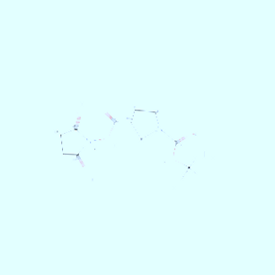 CC(C)(C)OC(=O)N1CC[C@@H](C(=O)ON2C(=O)CCC2=O)C1